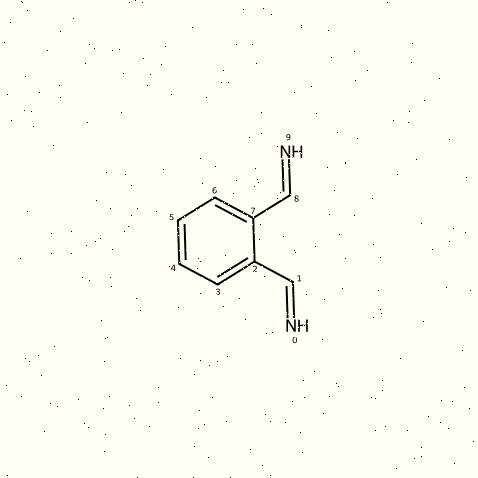 N=Cc1ccccc1C=N